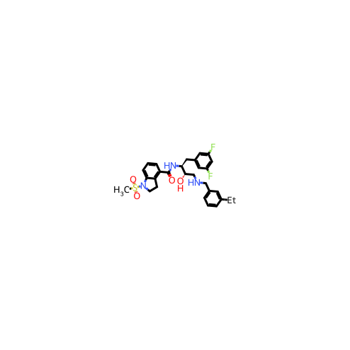 CCc1cccc(CNC[C@H](O)[C@H](Cc2cc(F)cc(F)c2)NC(=O)c2cccc3c2CCN3S(C)(=O)=O)c1